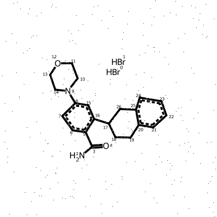 Br.Br.NC(=O)c1ccc(N2CCOCC2)cc1C1CCc2ccccc2C1